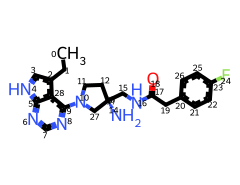 CCc1c[nH]c2ncnc(N3CC[C@](N)(CNC(=O)Cc4ccc(F)cc4)C3)c12